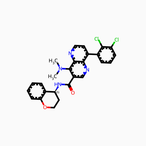 CN(C)c1c(C(=O)N[C@H]2CCOc3ccccc32)cnc2c(-c3cccc(Cl)c3Cl)ccnc12